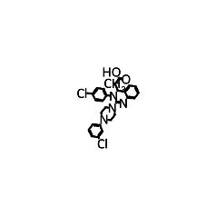 Cc1cc(Cl)ccc1N1C(N2CCN(c3cccc(Cl)c3)CC2)=Nc2ccccc2C1CC(=O)O